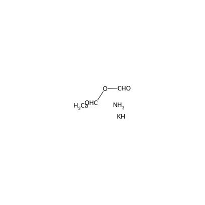 N.O=COC=O.[CaH2].[KH]